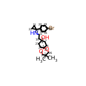 CC1(C)COC2(CCC(O)(CCNC3(c4ccc(Br)cc4)CC3)CC2)OC1